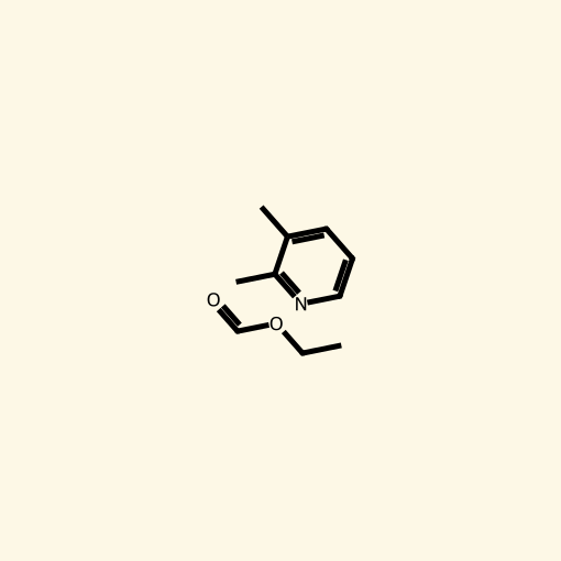 CCOC=O.Cc1cccnc1C